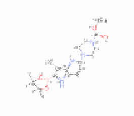 CC(C)c1c(B2OC(C)(C)C(C)(C)O2)[nH]c2ccc(N3CCN(C(=O)OC(C)(C)C)CC3)nc12